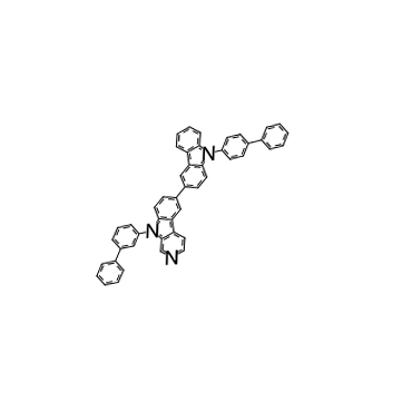 c1ccc(-c2ccc(-n3c4ccccc4c4cc(-c5ccc6c(c5)c5ccncc5n6-c5cccc(-c6ccccc6)c5)ccc43)cc2)cc1